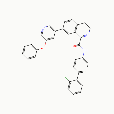 C=C(/C=C\C(=C/C)NC(=O)C1=NCCc2ccc(-c3cncc(Oc4ccccc4)c3)cc21)c1ccccc1F